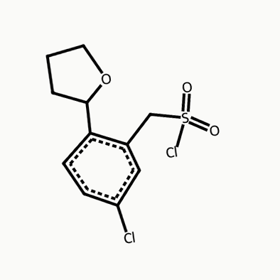 O=S(=O)(Cl)Cc1cc(Cl)ccc1C1CCCO1